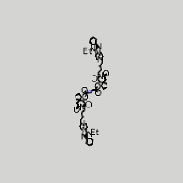 CCn1c(N2CCN(CCCCN3C(=O)CC4(CCCC4OC(=O)/C=C/C(=O)OC4CCCC45CC(=O)N(CCCCN4CCN(c6nc7ccccc7n6CC)CC4)C(=O)C5)CC3=O)CC2)nc2ccccc21